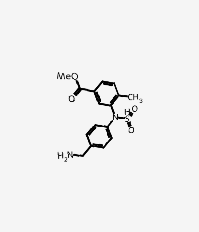 COC(=O)c1ccc(C)c(N(c2ccc(CN)cc2)[SH](=O)=O)c1